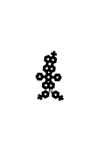 CC(C)(C)c1ccc(N(c2ccc(C(C)(C)C)cc2)c2ccc3c4c(-c5ccccc5)c5c6ccc7c8ccc(C(C)(C)C)c9cccc(c%10ccc(c5c(-c5ccccc5)c4c4cccc2c43)c6c%107)c98)cc1